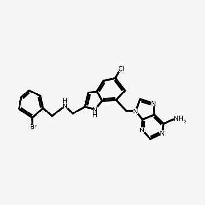 Nc1ncnc2c1ncn2Cc1cc(Cl)cc2cc(CNCc3ccccc3Br)[nH]c12